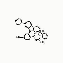 Cc1nc(C)nc(-c2ccc(C#N)cc2-n2c3cc(-c4ccccc4)ccc3c3ccc(-c4ccccc4)cc32)n1